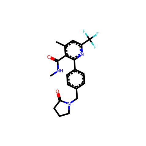 CNC(=O)c1c(C)cc(C(F)(F)F)nc1-c1ccc(CN2CCCC2=O)cc1